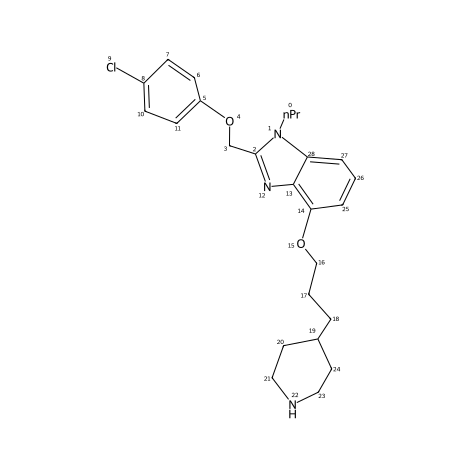 CCCn1c(COc2ccc(Cl)cc2)nc2c(OCCCC3CCNCC3)cccc21